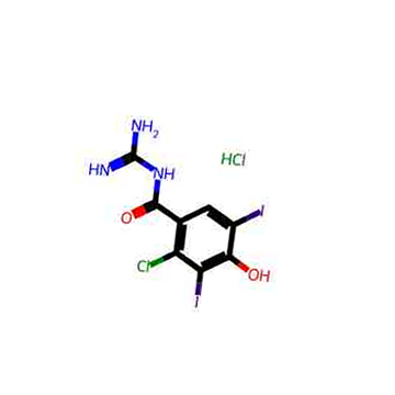 Cl.N=C(N)NC(=O)c1cc(I)c(O)c(I)c1Cl